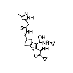 Cc1cc(CC(=S)NSC2CCc3sc(C(=N)C(=O)C4CC4)c(C(O)NCC4CC4)c3C2)[nH]n1